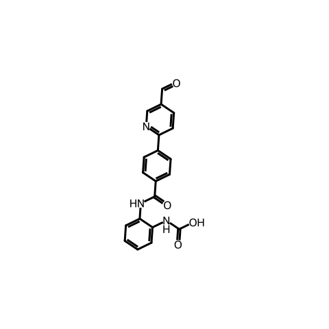 O=Cc1ccc(-c2ccc(C(=O)Nc3ccccc3NC(=O)O)cc2)nc1